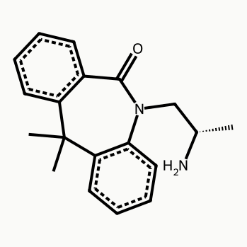 C[C@H](N)CN1C(=O)c2ccccc2C(C)(C)c2ccccc21